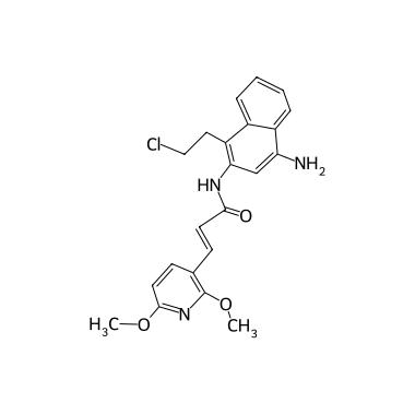 COc1ccc(C=CC(=O)Nc2cc(N)c3ccccc3c2CCCl)c(OC)n1